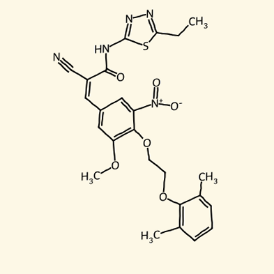 CCc1nnc(NC(=O)C(C#N)=Cc2cc(OC)c(OCCOc3c(C)cccc3C)c([N+](=O)[O-])c2)s1